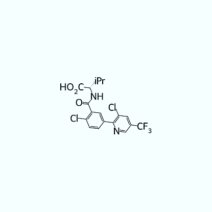 CC(C)[C@H](NC(=O)c1cc(-c2ncc(C(F)(F)F)cc2Cl)ccc1Cl)C(=O)O